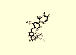 Cc1cc(-n2ncc(=O)[nH]c2=O)cc(C)c1Cc1ccc2[nH]cc(C(C)C)c2n1